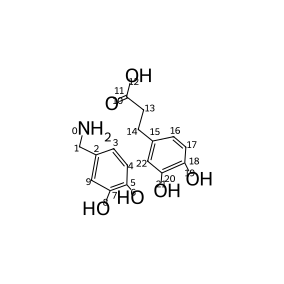 NCc1ccc(O)c(O)c1.O=C(O)CCc1ccc(O)c(O)c1